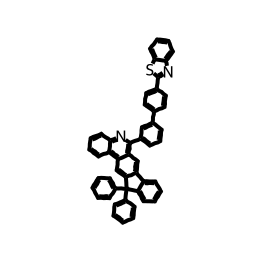 c1ccc(C2(c3ccccc3)c3ccccc3-c3cc4c(-c5cccc(-c6ccc(-c7nc8ccccc8s7)cc6)c5)nc5ccccc5c4cc32)cc1